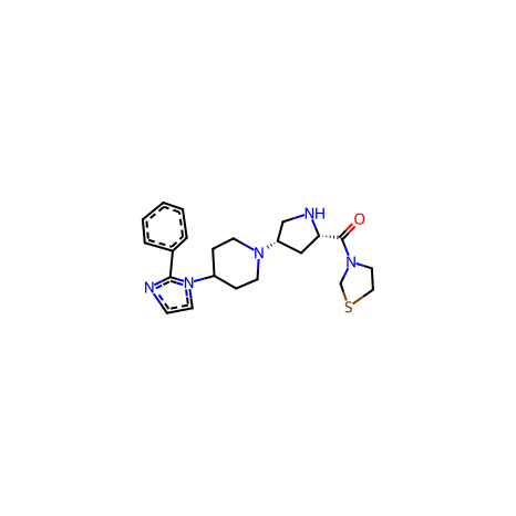 O=C([C@@H]1C[C@H](N2CCC(n3ccnc3-c3ccccc3)CC2)CN1)N1CCSC1